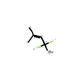 CC(C)=CC(F)(F)C(C)(C)C